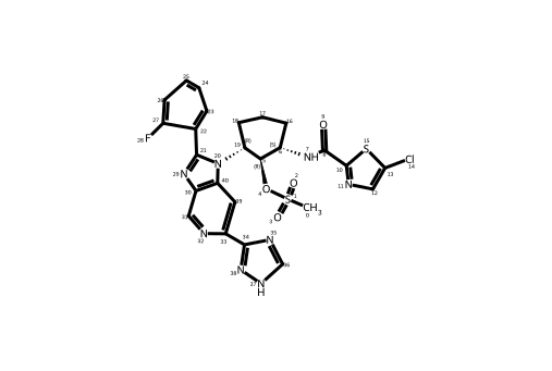 CS(=O)(=O)O[C@@H]1[C@@H](NC(=O)c2ncc(Cl)s2)CCC[C@H]1n1c(-c2ccccc2F)nc2cnc(-c3nc[nH]n3)cc21